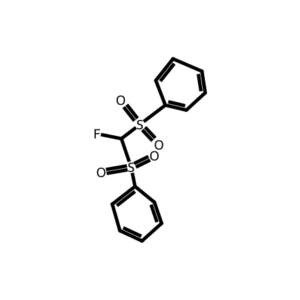 O=S(=O)([C](F)S(=O)(=O)c1ccccc1)c1ccccc1